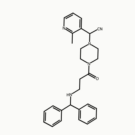 Cc1ncccc1C(C#N)N1CCN(C(=O)CCNC(c2ccccc2)c2ccccc2)CC1